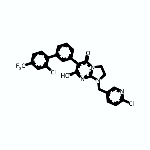 O=c1c(-c2cccc(-c3ccc(C(F)(F)F)cc3Cl)c2)c(O)nc2n1CCN2Cc1ccc(Cl)nc1